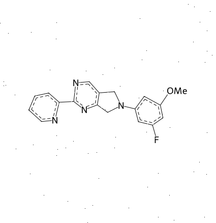 COc1cc(F)cc(N2Cc3cnc(-c4ccccn4)nc3C2)c1